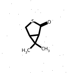 CC1(C)C2CSC(=O)C21